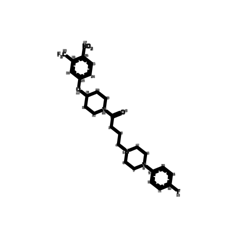 O=C(CCCN1CCN(c2ccc(F)cc2)CC1)N1CCC(Oc2ccc([N+](=O)[O-])c(C(F)(F)F)c2)CC1